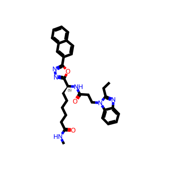 CCc1nc2ccccc2n1CCC(=O)N[C@@H](CCCCCC(=O)NC)c1nnc(-c2ccc3ccccc3c2)o1